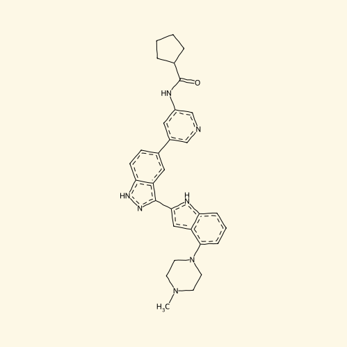 CN1CCN(c2cccc3[nH]c(-c4n[nH]c5ccc(-c6cncc(NC(=O)C7CCCC7)c6)cc45)cc23)CC1